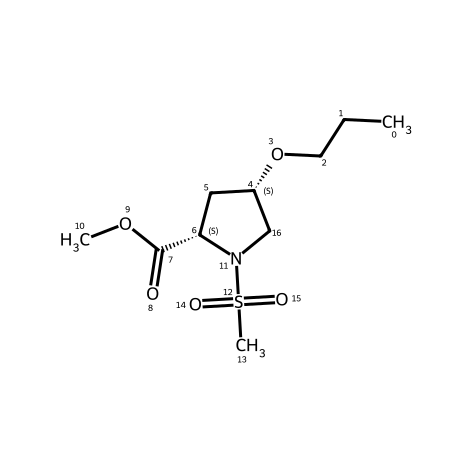 CCCO[C@H]1C[C@@H](C(=O)OC)N(S(C)(=O)=O)C1